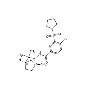 CC1(C)C(NC(=O)c2ccc(Br)c(S(=O)(=O)N3CCCC3)c2)[C@]2(C)CC[C@@H]1C2